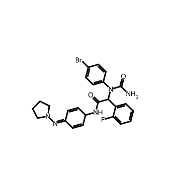 NC(=O)N(c1ccc(Br)cc1)C(C(=O)NC1C=CC(=NN2CCCC2)C=C1)c1ccccc1F